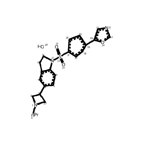 CCCN1CC(c2ccc3c(c2)CCN3S(=O)(=O)c2ccc(-c3cnco3)cc2)C1.Cl